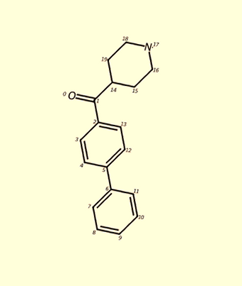 O=C(c1ccc(-c2ccccc2)cc1)C1CC[N]CC1